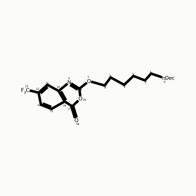 CCCCCCCCCCCCCCCCOc1nc2cc(C(F)(F)F)ccc2c(=O)o1